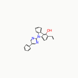 C=Cc1ccc2c(c1O)c1ccccc1n2-c1ncc(-c2ccccc2)cn1